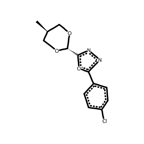 C[C@H]1CO[C@H](c2nnc(-c3ccc(Cl)cc3)o2)OC1